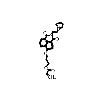 C=CC(=O)OCCCOc1ccc2c3c(cccc13)C(=O)N(CCN1CCCC1)C2=O